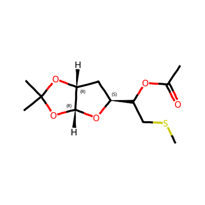 CSCC(OC(C)=O)[C@@H]1C[C@H]2OC(C)(C)O[C@H]2O1